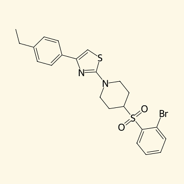 CCc1ccc(-c2csc(N3CCC(S(=O)(=O)c4ccccc4Br)CC3)n2)cc1